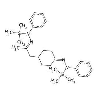 CC(CC1CCC(=NN(c2ccccc2)[Si](C)(C)C)CC1)=NN(c1ccccc1)[Si](C)(C)C